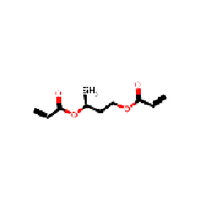 C=CC(=O)OCCC([SiH3])OC(=O)C=C